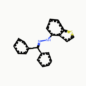 c1ccc(C(=NNc2cccc3sccc23)c2ccccc2)cc1